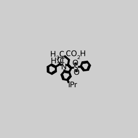 CC(C)c1ccc2c(c1)c(S(=O)(=O)c1ccccc1)c(CC(C)(C)C(=O)O)n2C(Cl)c1ccccc1